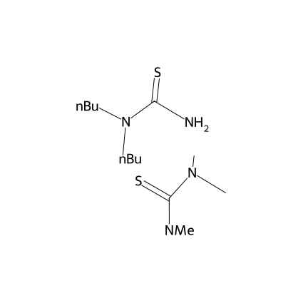 CCCCN(CCCC)C(N)=S.CNC(=S)N(C)C